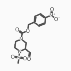 CS(=O)(=O)N1CCN(C(=O)OCc2ccc([N+](=O)[O-])cc2)CC1C=O